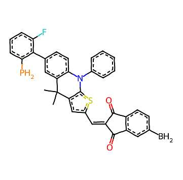 Bc1ccc2c(c1)C(=O)/C(=C/c1cc3c(s1)N(c1ccccc1)c1ccc(-c4c(F)cccc4P)cc1C3(C)C)C2=O